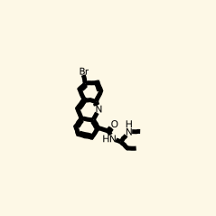 CCC(NC)NC(=O)c1cccc2cc3cc(Br)ccc3nc12